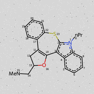 CCCn1c2c(c3ccccc31)C1=C(CC(CNC)O1)c1ccccc1S2